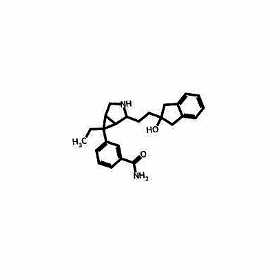 CCC1(c2cccc(C(N)=O)c2)C2CNC(CCC3(O)Cc4ccccc4C3)C21